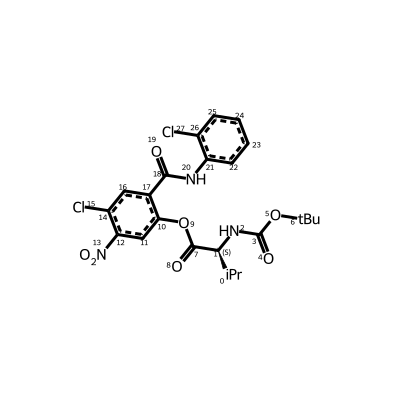 CC(C)[C@H](NC(=O)OC(C)(C)C)C(=O)Oc1cc([N+](=O)[O-])c(Cl)cc1C(=O)Nc1ccccc1Cl